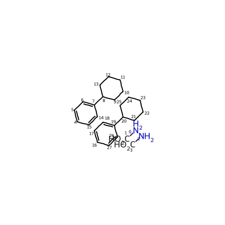 NC(=O)O.NC(=O)O.c1ccc(C2CCCCC2)cc1.c1ccc(C2CCCCC2)cc1